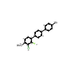 CCc1ccc(-c2ccc(-c3ccc(OC)c(Cl)c3F)cc2)cc1